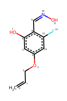 C=CCOc1cc(O)c(/C=N\O)c(F)c1